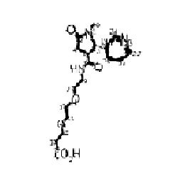 CN1C(=O)C[C@H](C(=O)NCCOCCOCCC(=O)O)[C@H]1c1cccnc1